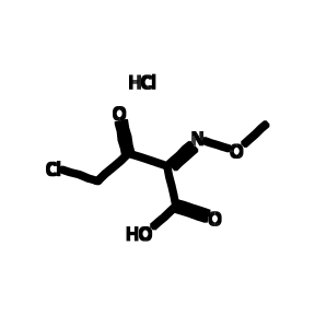 CON=C(C(=O)O)C(=O)CCl.Cl